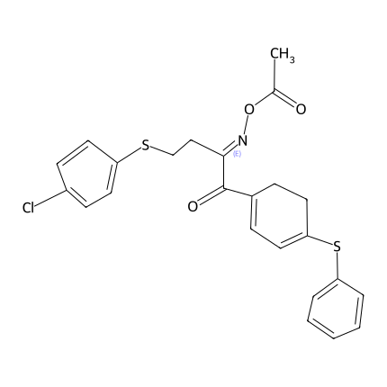 CC(=O)O/N=C(\CCSc1ccc(Cl)cc1)C(=O)C1=CC=C(Sc2ccccc2)CC1